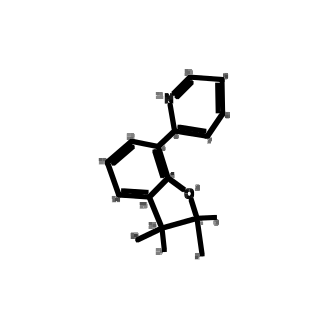 CC1(C)Oc2c(-c3ccccn3)cccc2C1(C)C